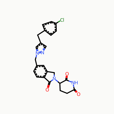 O=C1CCC(N2Cc3cc(Cn4cc(Cc5ccc(Cl)cc5)cn4)ccc3C2=O)C(=O)N1